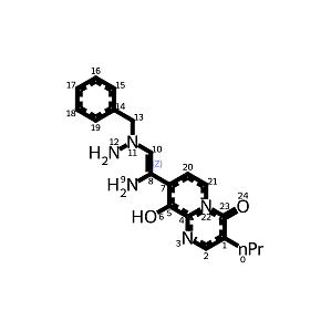 CCCc1cnc2c(O)c(/C(N)=C/N(N)Cc3ccccc3)ccn2c1=O